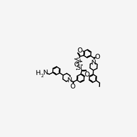 CCc1cccc(C2CCN(C(=O)c3ccc4occ([Si](C)(C)O[Si](C)(C)c5coc6ccc(C(=O)N7CCC(c8cccc(CN)c8)CC7)cc56)c4c3)CC2)c1